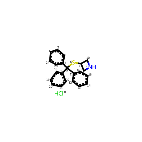 Cl.c1ccc(C(SC2CNC2)(c2ccccc2)c2ccccc2)cc1